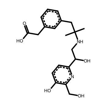 CC(C)(Cc1cccc(CC(=O)O)c1)NCC(O)c1ccc(O)c(CO)n1